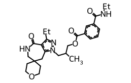 CCNC(=O)c1cccc(C(=O)OCC(C)Cn2nc(CC)c3c2CC2(CCOCC2)CNC3=O)c1